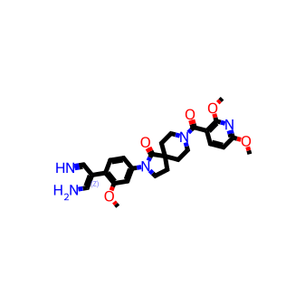 COc1ccc(C(=O)N2CCC3(CC2)CCN(c2ccc(/C(C=N)=C/N)c(OC)c2)C3=O)c(OC)n1